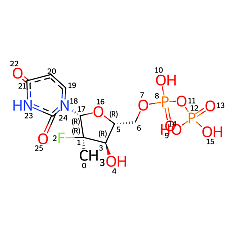 C[C@@]1(F)[C@H](O)[C@@H](COP(=O)(O)OP(=O)(O)O)O[C@H]1n1ccc(=O)[nH]c1=O